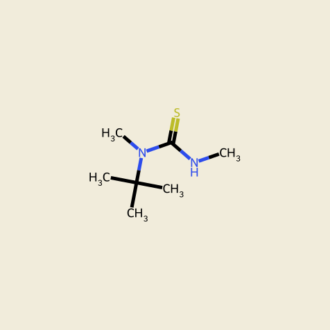 CNC(=S)N(C)C(C)(C)C